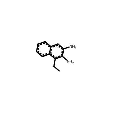 C[CH]c1c(N)c(N)cc2ccccc12